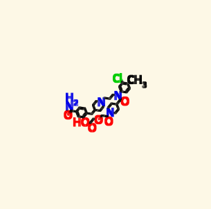 Cc1ccc(N(CCCN2CCC(Cc3ccc(C(N)=O)cc3)CC2)C(=O)C2CCN(C(=O)COCC(=O)O)CC2)cc1Cl